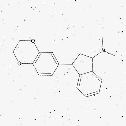 CN(C)C1CC(c2ccc3c(c2)OCCO3)c2ccccc21